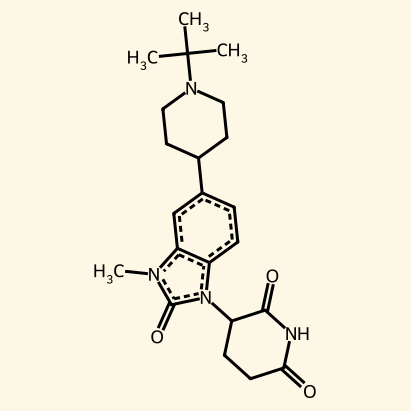 Cn1c(=O)n(C2CCC(=O)NC2=O)c2ccc(C3CCN(C(C)(C)C)CC3)cc21